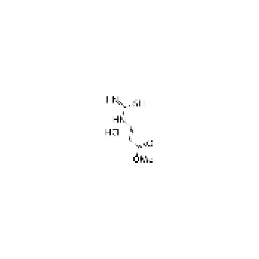 COC(=O)/C=C/NC(=N)S.Cl